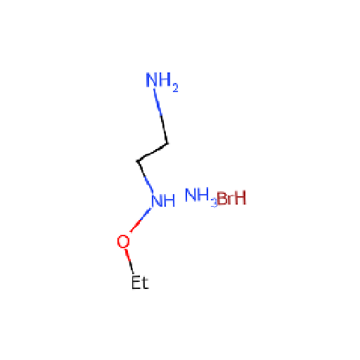 Br.CCONCCN.N